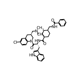 CN(C)C[C@@H]1Cc2cc(Cl)ccc2N(C(=O)[C@@H](Cc2c[nH]c3ccccc23)NC(=O)C2CCC(CNC(=O)c3ccccc3)CC2)C1